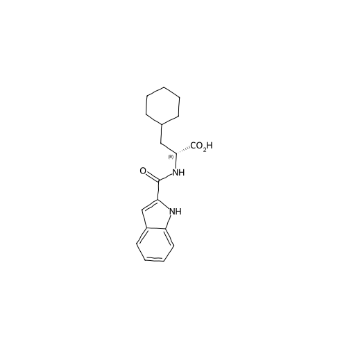 O=C(N[C@H](CC1CCCCC1)C(=O)O)c1cc2ccccc2[nH]1